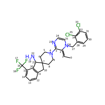 C/C=C1/C(N2CCC3(CC2)Cc2cccc(C(F)(F)F)c2C3N)=NC=CN1Cc1cccc(Cl)c1Cl